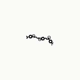 C=C(C)c1ccc(OCCCCOc2ccc(C=CC(=O)c3ccc(F)cc3)cc2)cc1